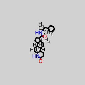 CC(C)(Cc1ccccc1)NC(=O)C1CC[C@H]2[C@@H]3CCC4NC(=O)CC[C@]4(C)[C@@H]3CC[C@]12C